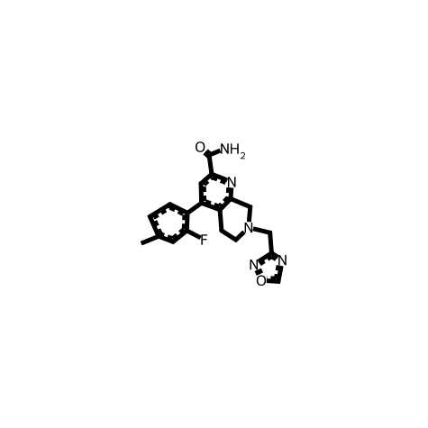 Cc1ccc(-c2cc(C(N)=O)nc3c2CCN(Cc2ncon2)C3)c(F)c1